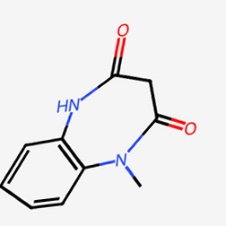 CN1C(=O)CC(=O)Nc2cc(Cl)ccc21